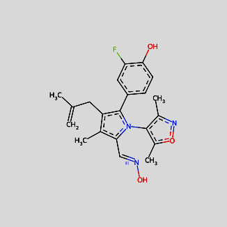 C=C(C)Cc1c(C)c(/C=N/O)n(-c2c(C)noc2C)c1-c1ccc(O)c(F)c1